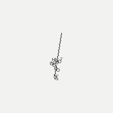 CCCCCCCCCCCCCCCCCCNC(=O)OC[C@H](COC(=O)CCC[n+]1ccsc1)OC(=O)OC.[I-]